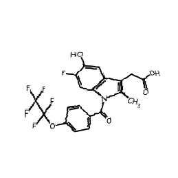 Cc1c(CC(=O)O)c2cc(O)c(F)cc2n1C(=O)c1ccc(OC(F)(F)C(F)(F)F)cc1